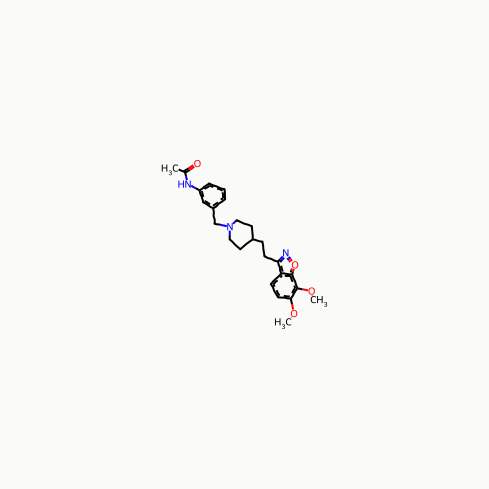 COc1ccc2c(CCC3CCN(Cc4cccc(NC(C)=O)c4)CC3)noc2c1OC